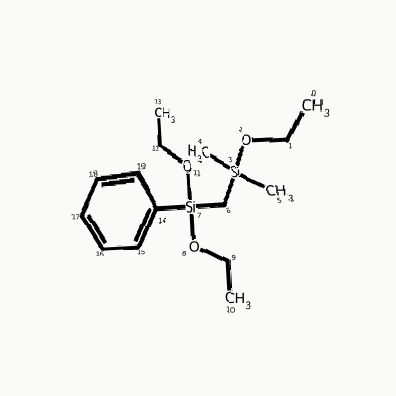 CCO[Si](C)(C)C[Si](OCC)(OCC)c1ccccc1